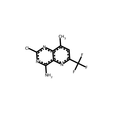 Cc1cc(C(F)(F)F)nc2c(N)nc(Cl)nc12